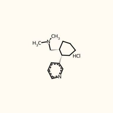 CN(C)C[C@@H]1CCCC[C@@H]1c1cccnc1.Cl